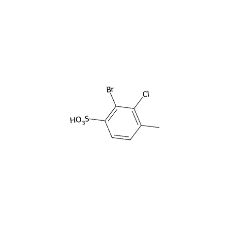 Cc1ccc(S(=O)(=O)O)c(Br)c1Cl